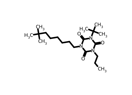 CCCn1c(=O)n(CCCCCCC(C)(C)C)c(=O)n(C(C)(C)C)c1=O